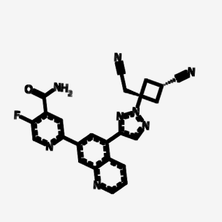 N#CC[C@]1(n2ncc(-c3cc(-c4cc(C(N)=O)c(F)cn4)cc4ncccc34)n2)C[C@@H](C#N)C1